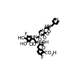 O=C(CN1CCN(C(=O)NC(C(=O)N[C@H]2Cc3ccc(F)c(C(=O)O)c3OB2O)c2cc(F)c(O)c(O)c2Cl)C(=O)C1=O)NCc1ccncc1